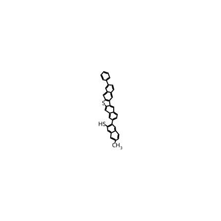 Cc1ccc2cc(-c3ccc4cc5c(cc4c3)sc3cc4cc(-c6ccccc6)ccc4cc35)c(S)cc2c1